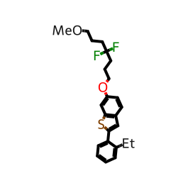 CCc1ccccc1-c1cc2ccc(OCCCC(F)(F)CCCOC)cc2s1